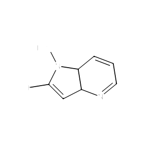 CN1C(I)=CC2N=CC=CC21